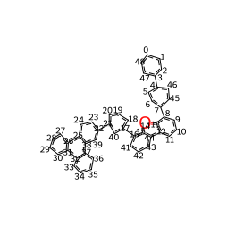 c1ccc(-c2ccc(-c3cccc4c3oc3c(-c5cccc(-c6ccc7c8ccccc8c8ccccc8c7c6)c5)cccc34)cc2)cc1